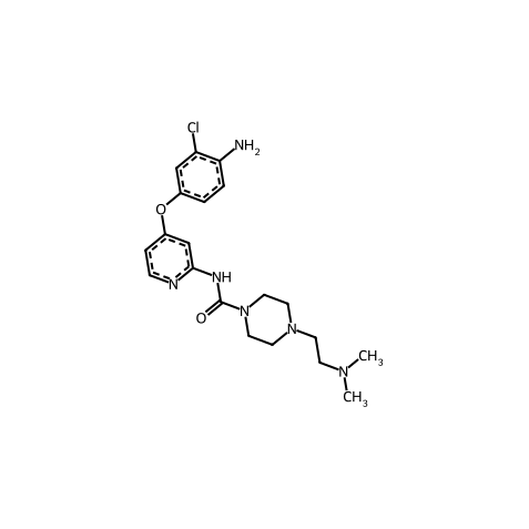 CN(C)CCN1CCN(C(=O)Nc2cc(Oc3ccc(N)c(Cl)c3)ccn2)CC1